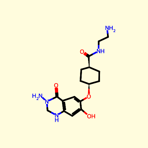 NCCNC(=O)[C@H]1CC[C@@H](Oc2cc3c(cc2O)NCN(N)C3=O)CC1